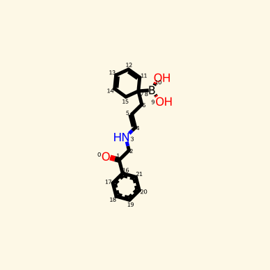 O=C(CNC=CCC1(B(O)O)C=CC=CC1)c1ccccc1